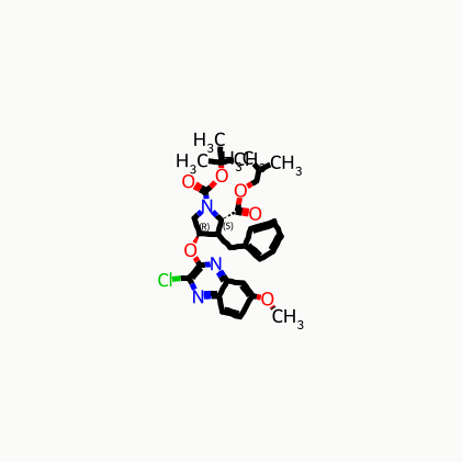 COc1ccc2nc(Cl)c(O[C@H]3CN(C(=O)OC(C)(C)C)[C@H](C(=O)OCC(C)C)C3Cc3ccccc3)nc2c1